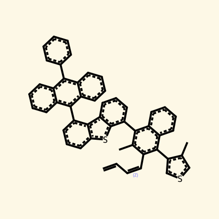 C=C/C=C\c1c(C)c(-c2cccc3c2sc2cccc(-c4c5ccccc5c(-c5ccccc5)c5ccccc45)c23)c2ccccc2c1-c1cscc1C